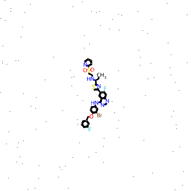 CCC(NCCS(=O)(=O)c1ccccn1)c1nc(-c2cc3c(Nc4ccc(OCc5cccc(F)c5)c(Br)c4)ncnc3cc2F)cs1